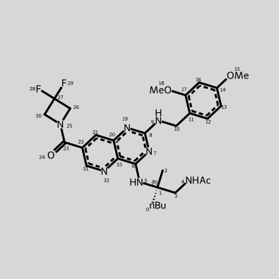 CCCC[C@](C)(CNC(C)=O)Nc1nc(NCc2ccc(OC)cc2OC)nc2cc(C(=O)N3CC(F)(F)C3)cnc12